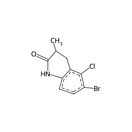 CC1Cc2c(ccc(Br)c2Cl)NC1=O